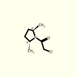 C[C@@H]1CC[C@@H](C)N1C(=O)CCl